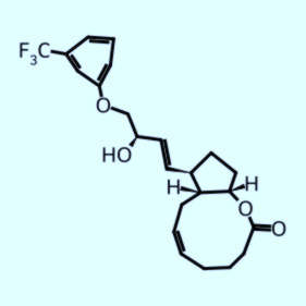 O=C1CCC/C=C\C[C@H]2[C@H](CC[C@@H]2/C=C/[C@@H](O)COc2cccc(C(F)(F)F)c2)O1